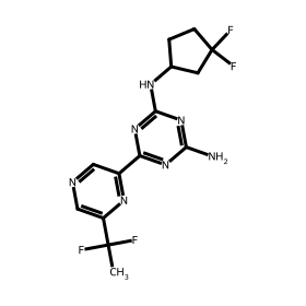 CC(F)(F)c1cncc(-c2nc(N)nc(NC3CCC(F)(F)C3)n2)n1